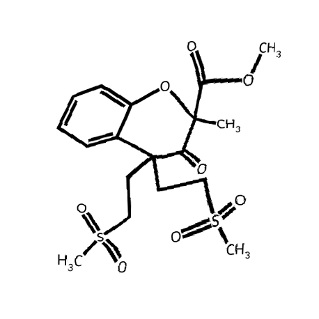 COC(=O)C1(C)Oc2ccccc2C(CCS(C)(=O)=O)(CCS(C)(=O)=O)C1=O